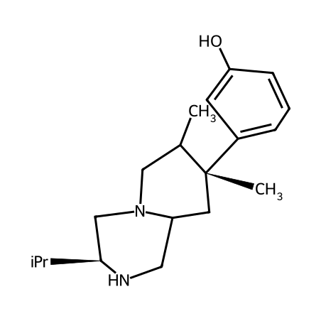 CC(C)[C@H]1CN2CC(C)[C@](C)(c3cccc(O)c3)CC2CN1